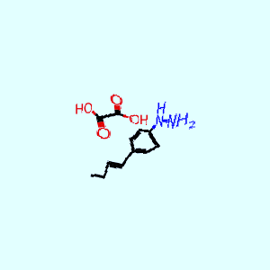 CCC=Cc1ccc(NN)cc1.O=C(O)C(=O)O